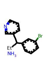 CCC(c1cccnc1)c1cccc(Br)c1.N